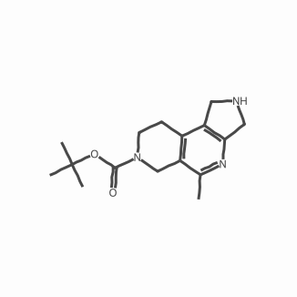 Cc1nc2c(c3c1CN(C(=O)OC(C)(C)C)CC3)CNC2